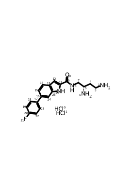 Cl.Cl.NCC[C@H](N)CNC(=O)c1cc2ccc(-c3ccc(F)cc3)cc2[nH]1